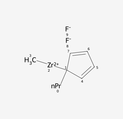 CCC[C]1([Zr+2][CH3])C=CC=C1.[F-].[F-]